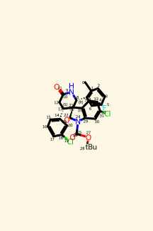 Cc1ccc(F)cc1[C@H]1NC(=O)C[C@@H](c2cccc(Cl)c2)[C@]12C(=O)N(C(=O)OC(C)(C)C)c1cc(Cl)ccc12